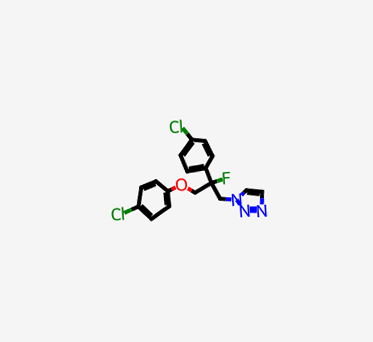 FC(COc1ccc(Cl)cc1)(Cn1ccnn1)c1ccc(Cl)cc1